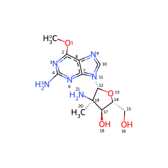 COc1nc(N)nc2c1ncn2[C@@H]1O[C@H](CO)[C@@H](O)[C@@]1(C)N